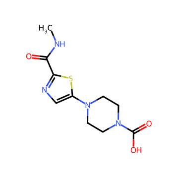 CNC(=O)c1ncc(N2CCN(C(=O)O)CC2)s1